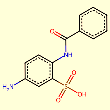 Nc1ccc(NC(=O)c2ccccc2)c(S(=O)(=O)O)c1